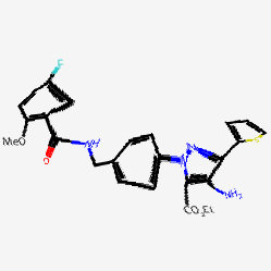 CCOC(=O)c1c(N)c(-c2cccs2)nn1-c1ccc(CNC(=O)c2cc(F)ccc2OC)cc1